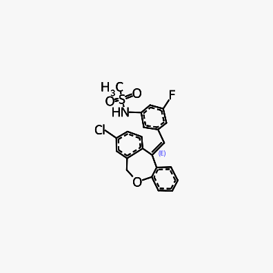 CS(=O)(=O)Nc1cc(F)cc(/C=C2\c3ccc(Cl)cc3COc3ccccc32)c1